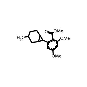 COC(=O)c1c(OC)cc(OC)cc1C1C2CCC(C)CC21